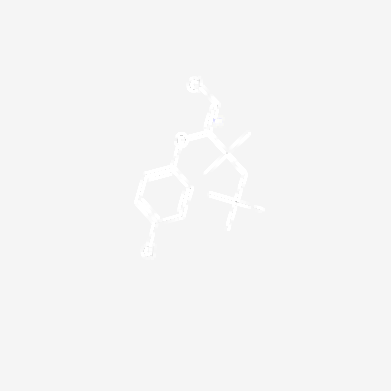 CC(C)(C)CC(C)(C)/C(=C/Cl)Oc1ccc(Cl)cc1